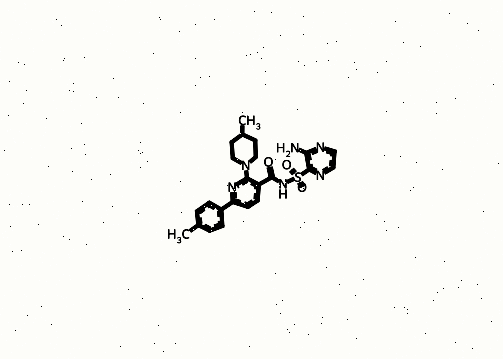 Cc1ccc(-c2ccc(C(=O)NS(=O)(=O)c3nccnc3N)c(N3CCC(C)CC3)n2)cc1